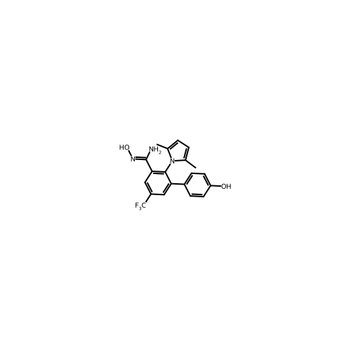 Cc1ccc(C)n1-c1c(/C(N)=N/O)cc(C(F)(F)F)cc1-c1ccc(O)cc1